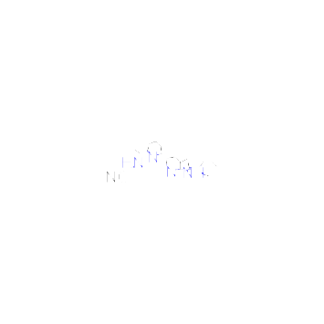 C=C(NCCC#N)c1cccc(-c2cnc3[nH]c(C4=CC=CCC=C4)cc3c2)n1